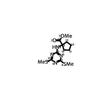 COC(=O)C1(Nc2nc(SC)nc(SC)n2)CCCC1